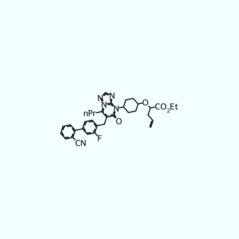 C=CCC(OC1CCC(n2c(=O)c(Cc3ccc(-c4ccccc4C#N)cc3F)c(CCC)n3ncnc23)CC1)C(=O)OCC